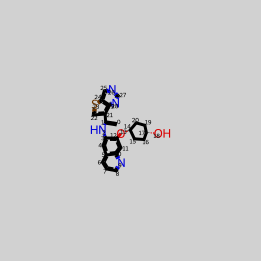 C=C(Nc1cc2cccnc2cc1O[C@H]1CC[C@@H](O)CC1)c1csc2cncnc12